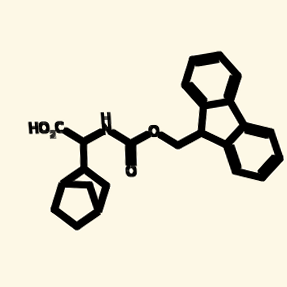 O=C(NC(C(=O)O)C1CC2CCC1C2)OCC1c2ccccc2-c2ccccc21